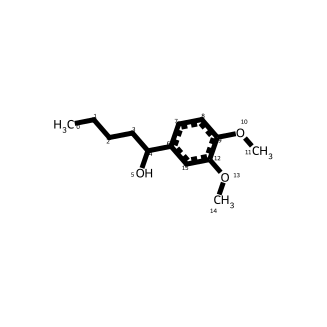 CCCCC(O)c1ccc(OC)c(OC)c1